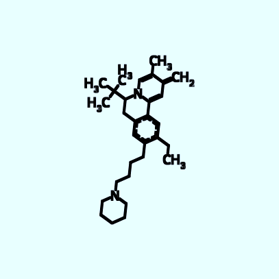 C=C1C=C2c3cc(CC)c(CCCCN4CCCCC4)cc3CC(C(C)(C)C)N2C=C1C